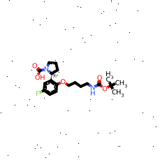 CC(C)(C)OC(=O)NCCCCOc1ccc(F)cc1[C@H]1CCCN1C(=O)O